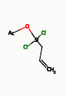 C=CC[Si](Cl)(Cl)OC(C)=O